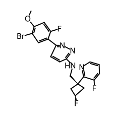 COc1cc(F)c(-c2ccc(NC[C@]3(c4ncccc4F)C[C@H](F)C3)nn2)cc1Br